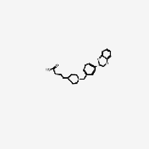 O=C(O)CCCC1CCN(CC2=CCC=C([C@H]3COc4ccccc4O3)C=C2)CC1